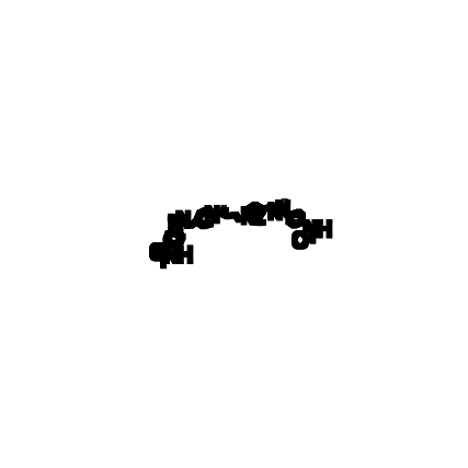 CC(=O)Nc1ccc(N(C)/N=C/c2cc[n+](CCCC[n+]3ccc(/C=N/N(C)c4ccc(NC(C)=O)cc4)cc3)cc2)cc1